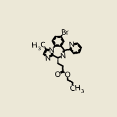 CCCOC(=O)CC[C@@H]1N=C(c2ccccn2)c2cc(Br)ccc2-n2c(C)cnc21